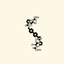 COC(=O)N[C@H](C(=O)N1CCC[C@H]1C(=O)NCc1ccc(-c2ccc(-c3cnc([C@@H]4CCCN4C(=O)[C@@H](NC(=O)OC)C(C)C)[nH]3)cc2)cc1)C(C)C